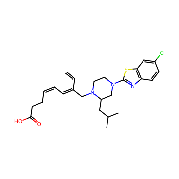 C=C/C(=C\C=C/CCC(=O)O)CN1CCN(c2nc3ccc(Cl)cc3s2)CC1CC(C)C